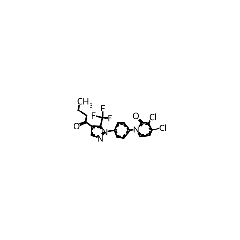 CCCC(=O)c1cnn(-c2ccc(-n3ccc(Cl)c(Cl)c3=O)cc2)c1C(F)(F)F